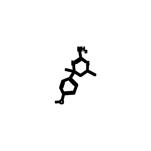 COc1ccc(C2(C)CC(C)SC(N)=N2)cc1